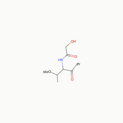 COC(C)C(NC(=O)CO)C(=O)C(C)C